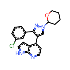 Clc1cccc(-c2nn(C3CCCCO3)cc2-c2ccnc3[nH]ccc23)c1